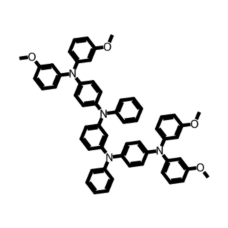 COc1cccc(N(c2ccc(N(c3ccccc3)c3cccc(N(c4ccccc4)c4ccc(N(c5cccc(OC)c5)c5cccc(OC)c5)cc4)c3)cc2)c2cccc(OC)c2)c1